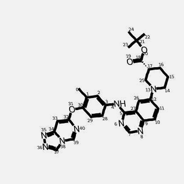 Cc1cc(Nc2ncnc3ccc(N4CCC[C@@H](C(=O)OC(C)(C)C)C4)cc23)ccc1Oc1cc2nncn2cn1